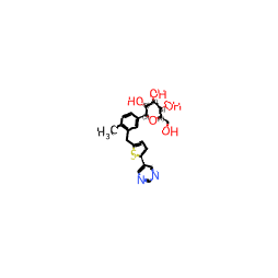 Cc1ccc([C@@H]2O[C@H](CO)[C@@H](O)[C@H](O)[C@H]2O)cc1Cc1ccc(-c2cncnc2)s1